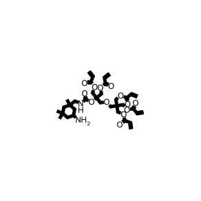 C=CC(=O)OCC(COCC(COC(=O)C=C)(COC(=O)C=C)OC(=O)NCC1(C)CC(N)CC(C)(C)C1)(COC(=O)C=C)COC(=O)C=C